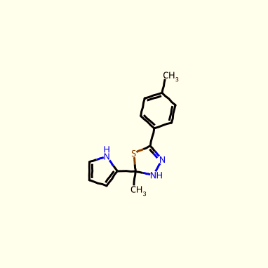 Cc1ccc(C2=NNC(C)(c3ccc[nH]3)S2)cc1